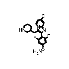 NSc1cc(F)c(-c2nc3cc(Cl)ccn3c2CC2CCCNC2)c(F)c1